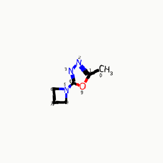 Cc1nnc(N2C[CH]C2)o1